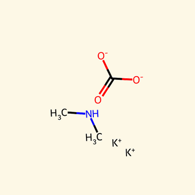 CNC.O=C([O-])[O-].[K+].[K+]